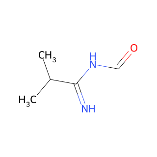 CC(C)C(=N)NC=O